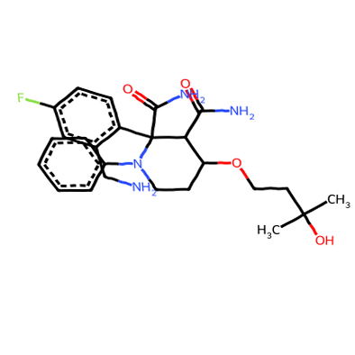 CC(C)(O)CCOC1CCN(c2ccccc2)C(C(N)=O)(c2ccc(F)cc2CN)C1C(N)=O